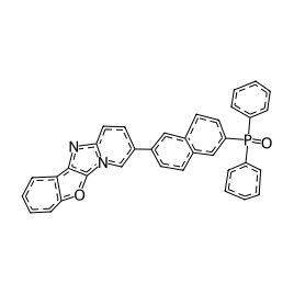 O=P(c1ccccc1)(c1ccccc1)c1ccc2cc(-c3ccc4nc5c6ccccc6oc5n4c3)ccc2c1